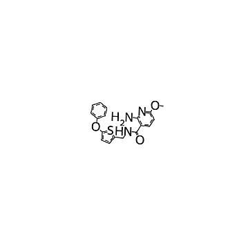 COc1ccc(C(=O)NCc2ccc(Oc3ccccc3)s2)c(N)n1